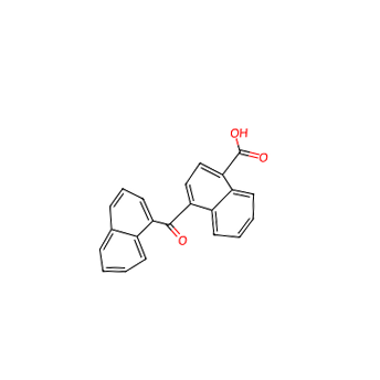 O=C(O)c1ccc(C(=O)c2cccc3ccccc23)c2ccccc12